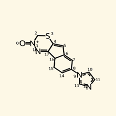 O=[N+]1CSC2=CC3=CC(n4ccnc4)=CCC3C2=N1